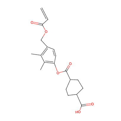 C=CC(=O)OCc1ccc(OC(=O)C2CCC(C(=O)O)CC2)c(C)c1C